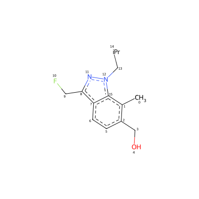 Cc1c(CO)ccc2c(CF)nn(CC(C)C)c12